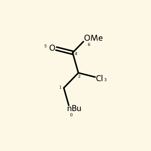 CCCCCC(Cl)C(=O)OC